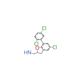 CNCC1Cc2cc(Cl)cc(-c3cc(Cl)ccc3Cl)c2O1